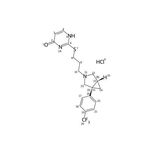 Cl.O=c1cc[nH]c(SCCCN2C[C@@H]3C[C@]3(c3ccc(C(F)(F)F)cc3)C2)n1